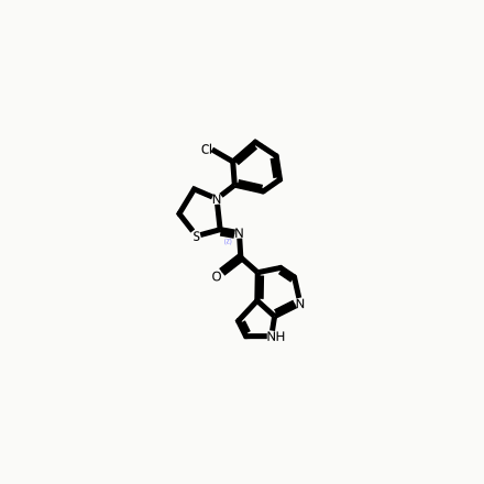 O=C(/N=C1\SCCN1c1ccccc1Cl)c1ccnc2[nH]ccc12